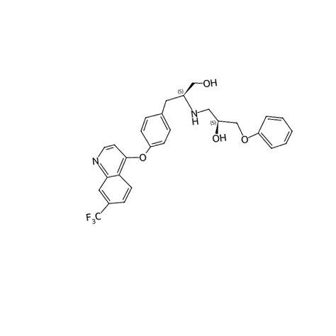 OC[C@H](Cc1ccc(Oc2ccnc3cc(C(F)(F)F)ccc23)cc1)NC[C@H](O)COc1ccccc1